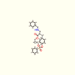 CCOC(=O)C(CNCc1ccccc1)Cc1ccc(OS(=O)(=O)c2ccccc2)cc1